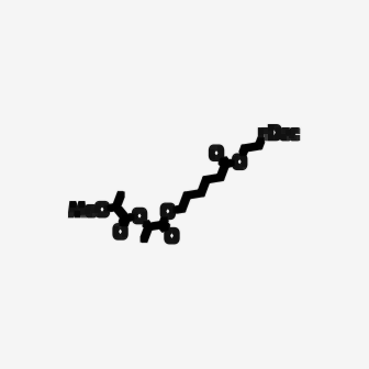 CCCCCCCCCCCCOC(=O)CCCCCOC(=O)C(C)OC(=O)C(C)OC